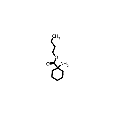 CCCCOC(=O)C1(N)CCCCC1